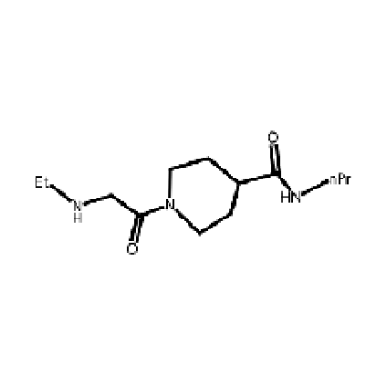 CCCNC(=O)C1CCN(C(=O)CNCC)CC1